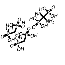 N[C]([Na])(P(=O)(O)O)P(=O)(O)O.O=P(O)(O)CP(=O)(O)O.O=P(O)(O)CP(=O)(O)O